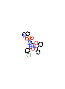 O=C(NC(c1ccccc1)c1ccccc1)C1CN(S(=O)(=O)c2cccc3cccnc23)CCN1C(=O)c1cccc(Cl)c1